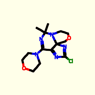 CC1(C)N=C(N2CCOCC2)C2=NC(Cl)=NC23COCCN13